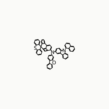 c1ccc2c(c1)Sc1ccccc1C21c2ccccc2-c2ccc(N(c3ccc4c(c3)oc3ccccc34)c3ccc4c(c3)c3ccccc3n4-c3cccc4ccccc34)c3cccc1c23